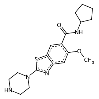 COc1cc2nc(N3CCNCC3)sc2cc1C(=O)NC1CCCC1